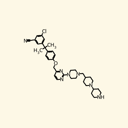 CC(C)(c1ccc(OCc2ccnc(N3CCN(CC4CCN(C5CCNCC5)CC4)CC3)n2)cc1)c1cc(Cl)cc(C#N)c1